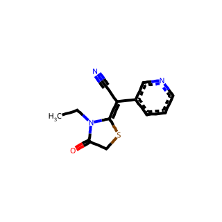 CCN1C(=O)CSC1=C(C#N)c1cccnc1